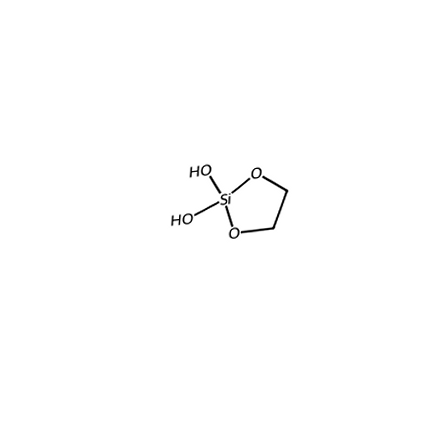 O[Si]1(O)OCCO1